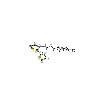 CCCCCC=CCCCCc1ccsc1-c1cccs1